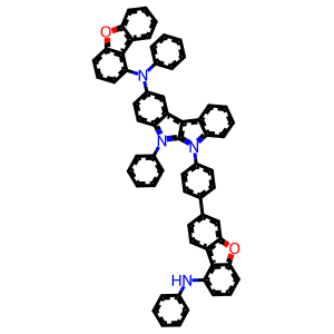 c1ccc(Nc2cccc3oc4cc(-c5ccc(-n6c7ccccc7c7c8cc(N(c9ccccc9)c9cccc%10oc%11ccccc%11c9%10)ccc8n(-c8ccccc8)c76)cc5)ccc4c23)cc1